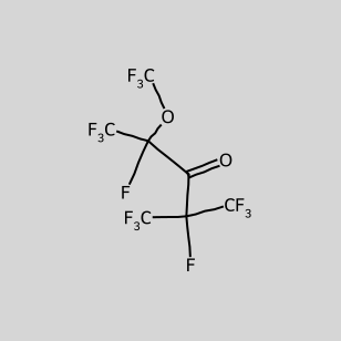 O=C(C(F)(OC(F)(F)F)C(F)(F)F)C(F)(C(F)(F)F)C(F)(F)F